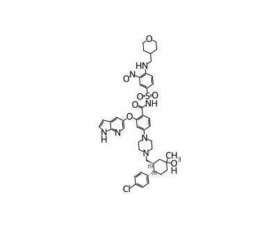 CC1(O)CC[C@H](c2ccc(Cl)cc2)[C@@H](CN2CCN(c3ccc(C(=O)NS(=O)(=O)c4ccc(NCC5CCOCC5)c(N=O)c4)c(Oc4cnc5[nH]ccc5c4)c3)CC2)C1